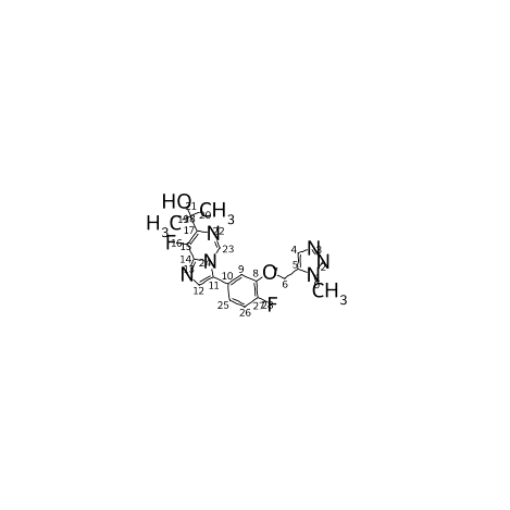 Cn1nncc1COc1cc(-c2cnc3c(F)c(C(C)(C)O)ncn23)ccc1F